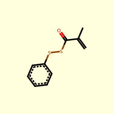 C=C(C)C(=O)SSc1ccccc1